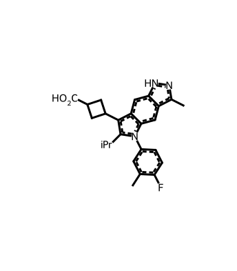 Cc1cc(-n2c(C(C)C)c(C3CC(C(=O)O)C3)c3cc4[nH]nc(C)c4cc32)ccc1F